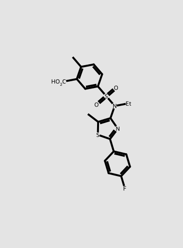 CCN(c1nc(-c2ccc(F)cc2)sc1C)S(=O)(=O)c1ccc(C)c(C(=O)O)c1